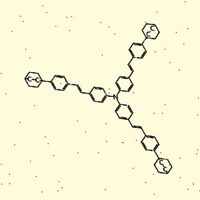 C(=C\c1ccc(C23CCC(CC2)CC3)cc1)/c1ccc(N(c2ccc(/C=C/c3ccc(C45CCC(CC4)CC5)cc3)cc2)c2ccc(/C=C/c3ccc(C45CCC(CC4)CC5)cc3)cc2)cc1